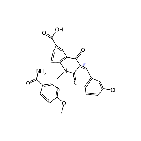 CN1C(=O)/C(=C\c2cccc(Cl)c2)C(=O)c2cc(C(=O)O)ccc21.COc1ccc(C(N)=O)cn1